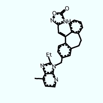 CCc1nc2c(C)ccnc2n1Cc1ccc2c(c1)CCc1ccccc1C2=Cc1noc(=O)[nH]1